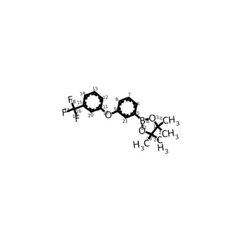 CC1(C)OB(c2cccc(Oc3cccc(C(F)(F)F)c3)c2)OC1(C)C